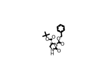 CC(C)(C)OC(=O)[C@H]1CNC(=O)N1C(=O)OCc1ccccc1